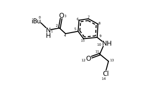 CCC(C)NC(=O)Cc1cccc(NC(=O)CCl)c1